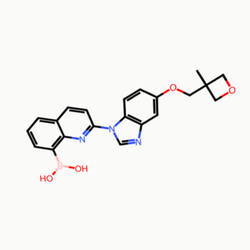 CC1(COc2ccc3c(c2)ncn3-c2ccc3cccc(B(O)O)c3n2)COC1